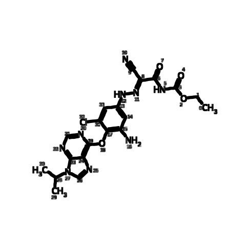 CCOC(=O)NC(=O)/C(C#N)=N/Nc1cc(N)c(Oc2ncnc3c2ncn3C(C)C)c(Cl)c1